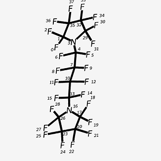 FC1(F)N(C(F)(F)C(F)(F)C(F)(F)C(F)(F)N2C(F)(F)C(F)(F)C(F)(F)C2(F)F)C(F)(F)C(F)(F)C1(F)F